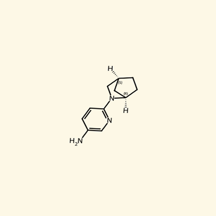 Nc1ccc(N2C[C@H]3CC[C@@H]2C3)nc1